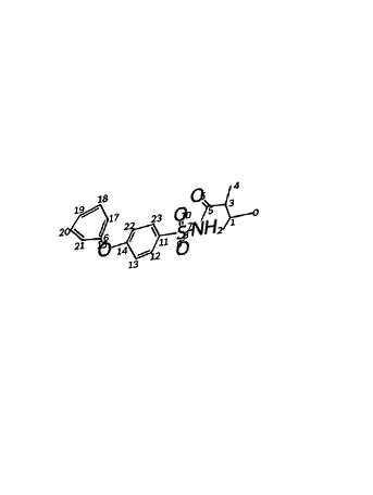 CC(C)C(C)C(=O)NS(=O)(=O)c1ccc(Oc2ccccc2)cc1